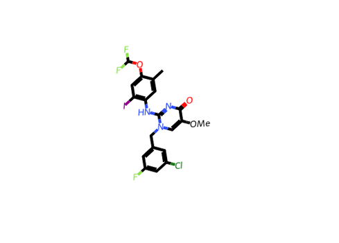 COc1cn(Cc2cc(F)cc(Cl)c2)c(Nc2cc(C)c(OC(F)F)cc2I)nc1=O